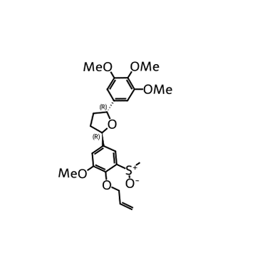 C=CCOc1c(OC)cc([C@H]2CC[C@H](c3cc(OC)c(OC)c(OC)c3)O2)cc1[S+](C)[O-]